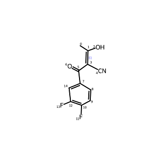 C/C(O)=C(/C#N)C(=O)c1ccc(F)c(F)c1